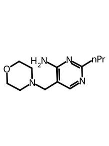 CCCc1ncc(CN2CCOCC2)c(N)n1